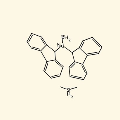 C[SiH2]C.[BH2][Nd]([CH]1c2ccccc2-c2ccccc21)[CH]1c2ccccc2-c2ccccc21